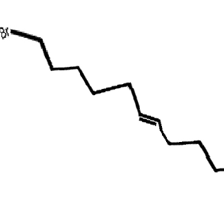 CCCCC=CCCCCCBr